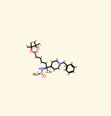 CC(C)(C)[S+]([O-])N[C@](C#N)(CCCCB1OC(C)(C)C(C)(C)O1)C1CCN(Cc2ccccc2)CC1